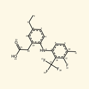 CCc1ccc(Nc2ccc(C)c(F)c2C(F)(F)F)c(CC(=O)O)c1